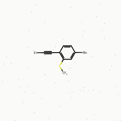 CCC#Cc1ccc(C(C)(C)C)cc1SC(F)(F)F